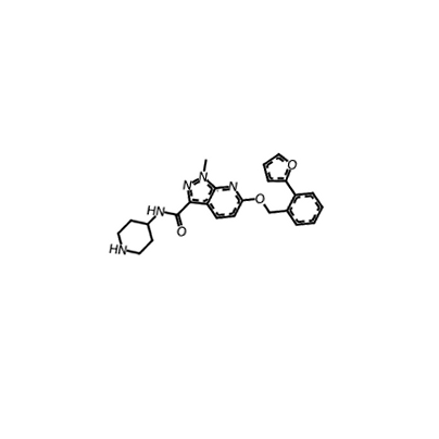 Cn1nc(C(=O)NC2CCNCC2)c2ccc(OCc3ccccc3-c3ccco3)nc21